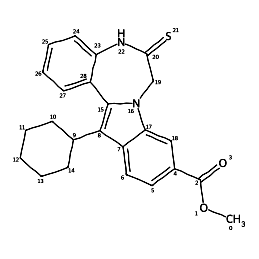 COC(=O)c1ccc2c(C3CCCCC3)c3n(c2c1)CC(=S)Nc1ccccc1-3